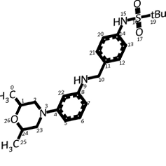 CC1CN(c2cccc(NCc3ccc(NS(=O)(=O)C(C)(C)C)cc3)c2)CC(C)O1